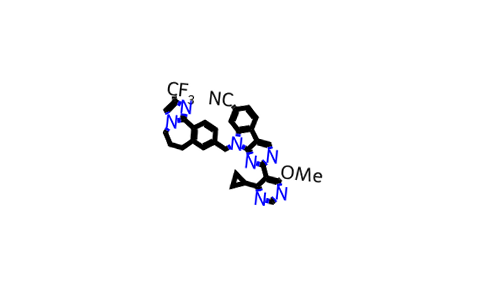 COc1ncnc(C2CC2)c1-c1ncc2c3ccc(C#N)cc3n(Cc3ccc4c(c3)CCCn3cc(C(F)(F)F)nc3-4)c2n1